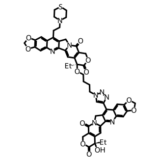 CC[C@@]1(O)C(=O)OCc2c1cc1n(c2=O)Cc2c-1nc1cc3c(cc1c2-c1cn(CCCCO[C@]2(CC)C(=O)OCc4c2cc2n(c4=O)Cc4c-2nc2cc5c(cc2c4CCN2CCSCC2)OCO5)nn1)OCO3